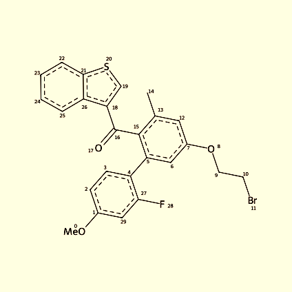 COc1ccc(-c2cc(OCCBr)cc(C)c2C(=O)c2csc3ccccc23)c(F)c1